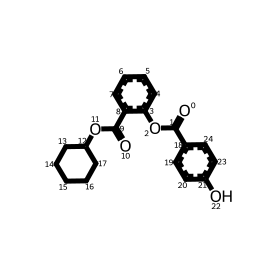 O=C(Oc1ccccc1C(=O)OC1CCCCC1)c1ccc(O)cc1